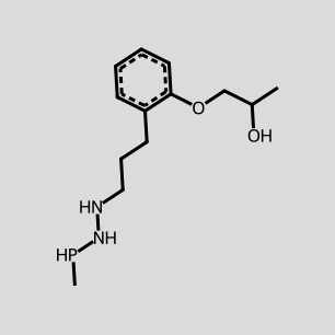 CPNNCCCc1ccccc1OCC(C)O